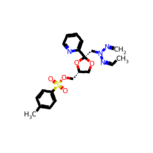 C=NN(C[C@]1(c2ccccn2)OC[C@H](COS(=O)(=O)c2ccc(C)cc2)O1)/N=C\C